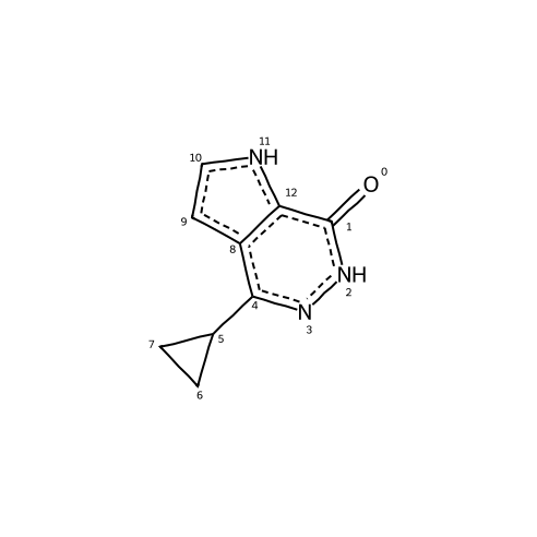 O=c1[nH]nc(C2CC2)c2cc[nH]c12